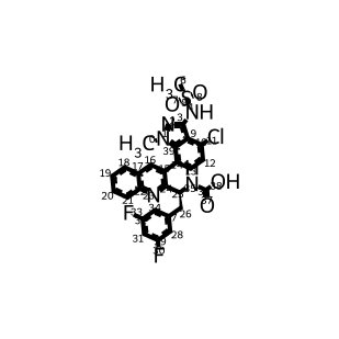 Cn1nc(NS(C)(=O)=O)c2c(Cl)ccc(-c3cc4ccccc4nc3[C@H](Cc3cc(F)cc(F)c3)NC(=O)O)c21